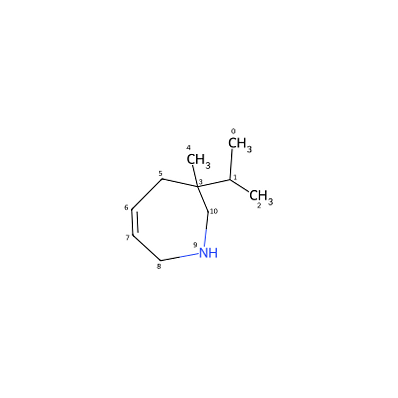 CC(C)C1(C)CC=CCNC1